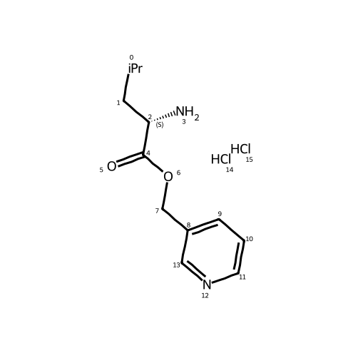 CC(C)C[C@H](N)C(=O)OCc1cccnc1.Cl.Cl